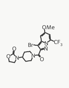 COc1cc(C(F)(F)F)n2nc(C(=O)N3CCC(N4CCOC4=O)CC3)c(Br)c2c1